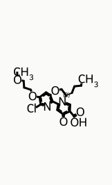 CCCC[C@@H]1COc2cc(OCCCOC)c(Cl)nc2-c2cc(=O)c(C(=O)O)cn21